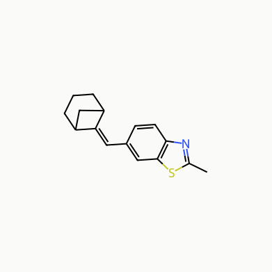 Cc1nc2ccc(C=C3C4CCCC3C4)cc2s1